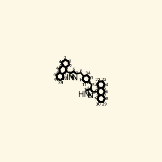 c1ccc2c(-c3cc(Cc4ccc(Cc5c[nH]nc5-c5c6ccccc6cc6ccccc56)cc4)n[nH]3)c3ccccc3cc2c1